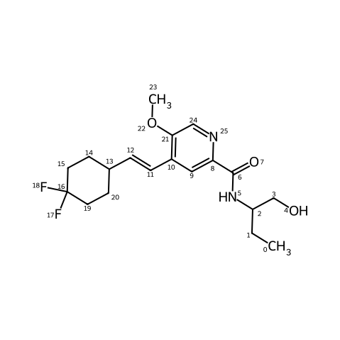 CCC(CO)NC(=O)c1cc(C=CC2CCC(F)(F)CC2)c(OC)cn1